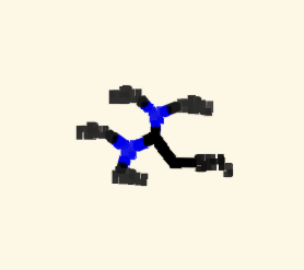 CCCCN(CCCC)C(C[SiH3])N(CCCC)CCCC